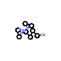 N#CC1=CC=CC(C2CC=CCC2C2=C(C3=CC(n4c5c(c6c4C=CCC6)CCC=C5)NC(N4C5=C(CCCC5)C5C=CC=NC54)=C3)CCC=C2)C1